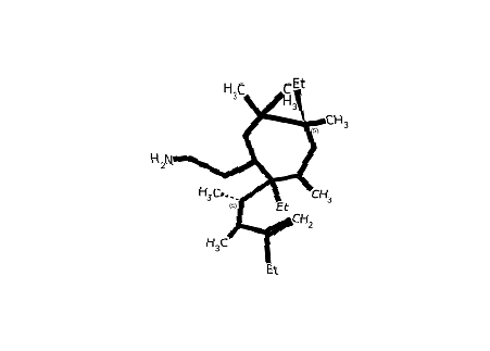 C=C(CC)C(C)[C@H](C)C1(CC)C(C)C[C@](C)(CC)C(C)(C)CC1CCN